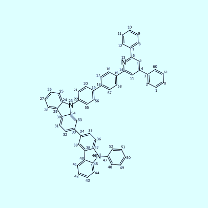 c1ccc(-c2cc(-c3ccccc3)nc(-c3ccc(-c4ccc(-n5c6ccccc6c6ccc(-c7ccc8c(c7)c7ccccc7n8-c7ccccc7)cc65)cc4)cc3)c2)cc1